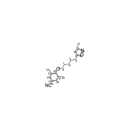 Cc1cc(CCCCCOc2c(C)cc(C#N)cc2C)on1